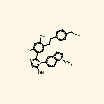 Cn1ccc2cc(-n3c(O)nnc3-c3cc(CCc4ccc(CO)cc4)c(O)cc3O)ccc21